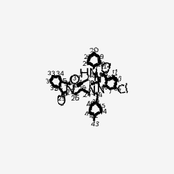 C#CC[C@H](c1nc2cc(Cl)ccc2c(=O)n1Nc1ccccc1)N(CCCN1C(=O)c2ccccc2C1=O)Cc1ccc(C)cc1